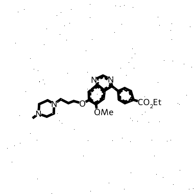 CCOC(=O)c1ccc(-c2ncnc3cc(OCCCN4CCN(C)CC4)c(OC)cc23)cc1